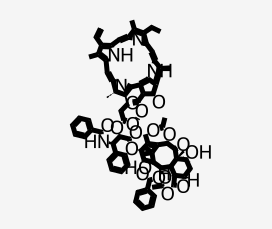 C=Cc1c(C)c2cc3nc(c4c5[nH]c(cc6nc(cc1[nH]2)C(C)=C6CC)c(C)c5C(=O)C4C(=O)OC)[C@@H](CCC(=O)O[C@H](C(=O)O[C@H]1C[C@@]2(O)[C@@H](OC(=O)c4ccccc4)[C@@H]4[C@]5(OC(C)=O)CO[C@@H]5C[C@H](O)[C@@]4(C)C(=O)[C@H](OC(C)=O)C(=C1C)C2(C)C)[C@H](NC(=O)c1ccccc1)c1ccccc1)[C@@H]3C